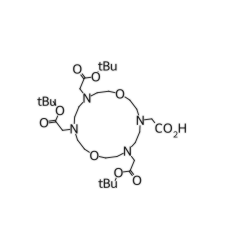 CC(C)(C)OC(=O)CN1CCOCCN(CC(=O)OC(C)(C)C)CCN(CC(=O)OC(C)(C)C)CCOCCN(CC(=O)O)CC1